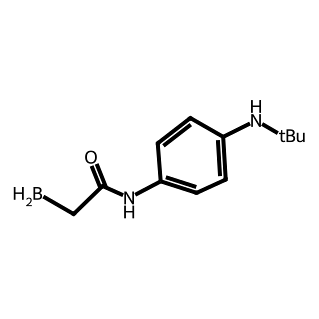 BCC(=O)Nc1ccc(NC(C)(C)C)cc1